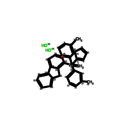 Cc1ccc[c]([Zr](=[SiH2])([C]2=CC=CC2)([c]2cccc(C)c2)[c]2cccc3c2Cc2ccccc2-3)c1.Cl.Cl